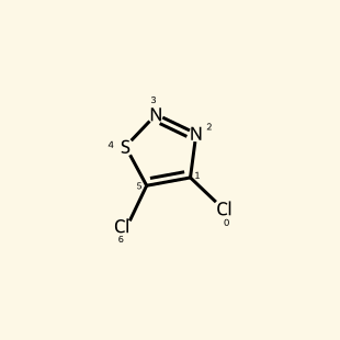 Clc1nnsc1Cl